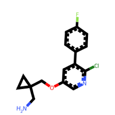 NCC1(COc2cnc(Cl)c(-c3ccc(F)cc3)c2)CC1